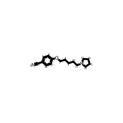 N#Cc1ccc(OCCCCCN2CCCC2)cc1